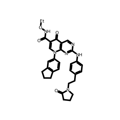 CCONC(=O)c1cn(-c2ccc3c(c2)CCC3)c2nc(Nc3ccc(CCN4CCCC4=O)cc3)ncc2c1=O